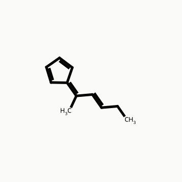 CC/C=C/C(C)=C1C=CC=C1